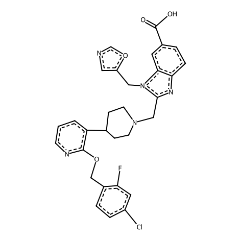 O=C(O)c1ccc2nc(CN3CCC(c4cccnc4OCc4ccc(Cl)cc4F)CC3)n(Cc3cnco3)c2c1